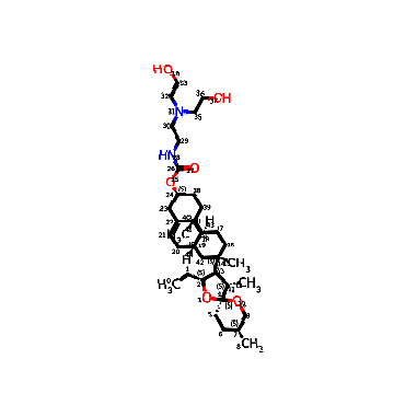 CC[C@@H]1O[C@@]2(CC[C@H](C)CO2)[C@@H](C)C1[C@@]1(C)CC[C@H]2[C@@H](CC=C3C[C@@H](OC(=O)NCCN(CCO)CCO)CC[C@@]32C)C1